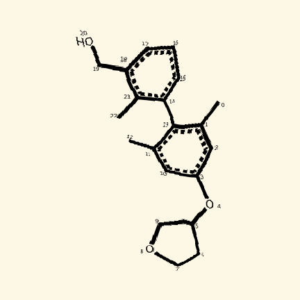 Cc1cc(OC2CCOC2)cc(C)c1-c1cccc(CO)c1C